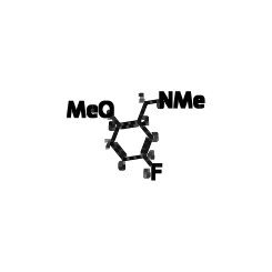 [CH2-][NH2+]Cc1cc(F)ccc1OC